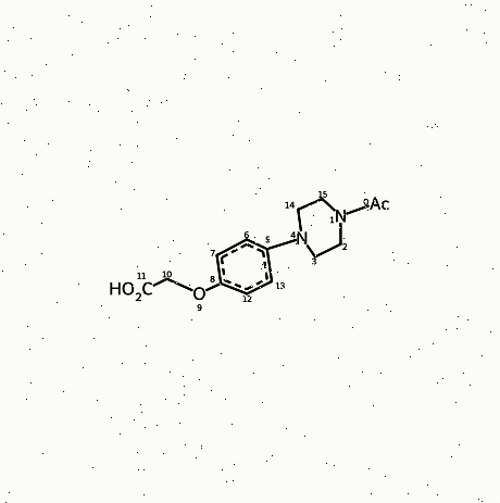 CC(=O)N1CCN(c2ccc(OCC(=O)O)cc2)CC1